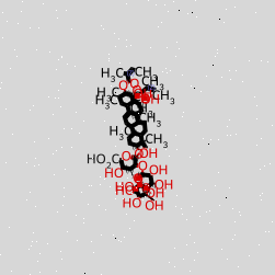 C/C=C(/C)C(=O)O[C@H]1[C@H](OC(=O)/C(C)=C\C)[C@@]2(CO)C(CC1(C)C)C1=CCC3[C@@]4(C)CC[C@H](O[C@@H]5OC(C(=O)O)[C@@H](O)[C@@H](CO[C@@H]6O[C@@H](CO)C(O)[C@@H]6O)C5O[C@@H]5OC(CO)[C@@H](O)[C@@H](O)C5O)[C@](C)(CO)C4CC[C@@]3(C)[C@]1(C)C[C@H]2O